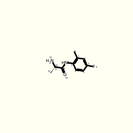 Cc1cc(F)ccc1NC(=O)[C@H](C)N